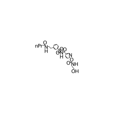 CCCC(=O)NCCc1cccc(S(=O)(=O)NC(=O)c2ccc(OC(=O)NCCO)nc2)c1